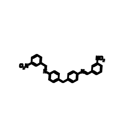 O=[N+]([O-])c1cccc(C=Nc2ccc(Cc3ccc(N=Cc4cccc([N+](=O)[O-])c4)cc3)cc2)c1